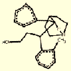 Cc1ccccc1C(CCO)C1(c2ccccc2)CN2CCC1CC2